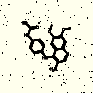 COc1cc2ncc(N)c(Nc3ccc(NC(=O)O)cc3)c2cc1OC